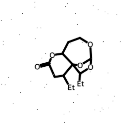 CCC1CC(=O)OC2CCOC3OC(CC)C12O3